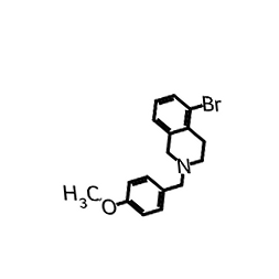 COc1ccc(CN2CCc3c(Br)cccc3C2)cc1